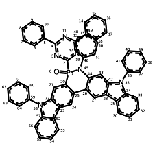 O=P1(c2nc(-c3ccccc3)nc(-c3ccccc3)n2)c2cc3c(cc2-c2cc4c5ccccc5n(-c5ccccc5)c4cc2N1c1ccccc1)c1ccccc1n3-c1ccccc1